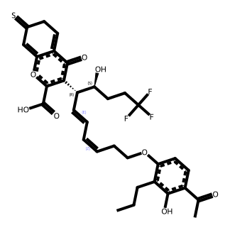 CCCc1c(OCC/C=C\C=C\[C@H](c2c(C(=O)O)oc3c(c2=O)=CCC(=S)C=3)[C@@H](O)CCC(F)(F)F)ccc(C(C)=O)c1O